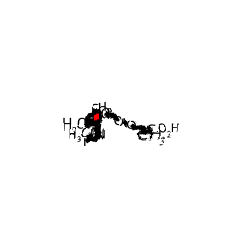 Cc1c(I)cnn1CC12CC3(C)CC(C)(C1)CC(OCCOCCOCCN(C)C(=O)O)(C3)C2